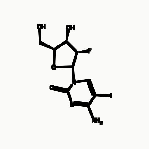 Nc1nc(=O)n(C2O[C@@H](CO)[C@@H](O)[C@@H]2F)cc1I